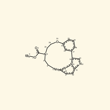 CC(C)(C)OC(=O)N1CCNc2ccc3ncc(n3n2)-c2cccc(c2)OCC1